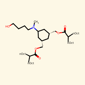 CCCCCCCCC(CCCCCCCC)C(=O)OC[C@@H]1CC(N(C)CCCCO)C[C@H](COC(=O)C(CCCCCCCC)CCCCCCCC)C1